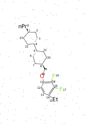 CCC[C@H]1CC[C@H]([C@H]2CC[C@H](COc3ccc(CC)c(F)c3F)CC2)CC1